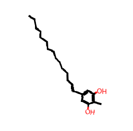 CCCCCCCCCCCCCC=Cc1cc(O)c(C)c(O)c1